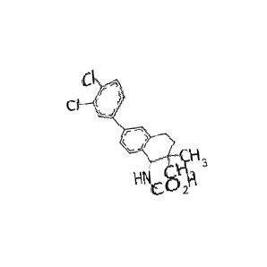 CC1(C)CCc2cc(-c3ccc(Cl)c(Cl)c3)ccc2[C@H]1NC(=O)O